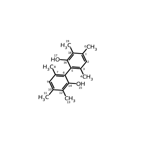 Cc1cc(C)c(-c2c(C)cc(C)c(C)c2O)c(O)c1C